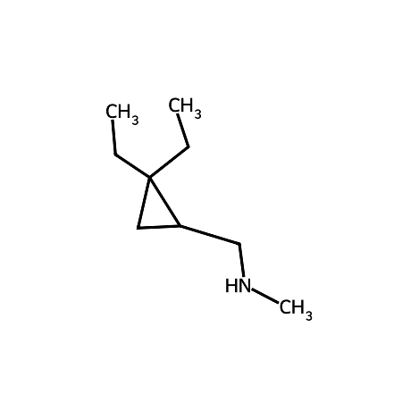 CCC1(CC)CC1CNC